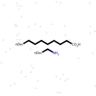 CCCCCCCCCCCCCCCCCC(=O)O.CCCCCCCCCCCN